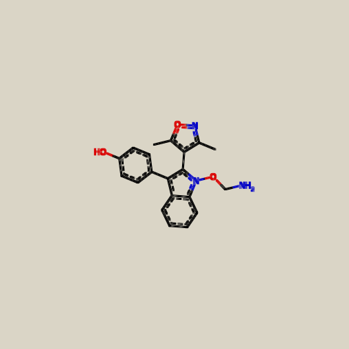 Cc1noc(C)c1-c1c(-c2ccc(O)cc2)c2ccccc2n1OCN